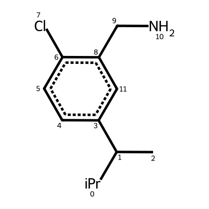 CC(C)C(C)c1ccc(Cl)c(CN)c1